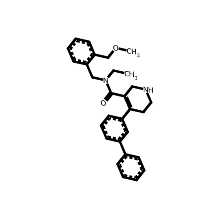 CCN(Cc1ccccc1COC)C(=O)C1=C(c2cccc(-c3ccccc3)c2)CCNC1